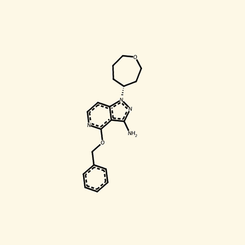 Nc1nn([C@@H]2CCCOCC2)c2ccnc(OCc3ccccc3)c12